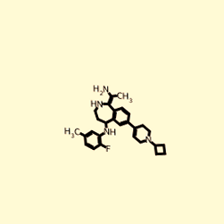 C/C(N)=C1/NCCC(Nc2cc(C)ccc2F)c2cc(C3=CCN(C4CCC4)CC3)ccc21